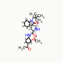 COc1cc(C(C)=O)ccc1NC(=O)C1CC2(CN1)C(=O)N(CC(C)(C)C)c1ccccc12